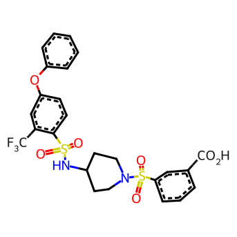 O=C(O)c1cccc(S(=O)(=O)N2CCC(NS(=O)(=O)c3ccc(Oc4ccccc4)cc3C(F)(F)F)CC2)c1